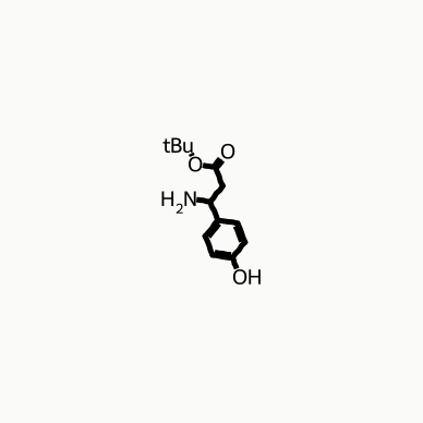 CC(C)(C)OC(=O)CC(N)c1ccc(O)cc1